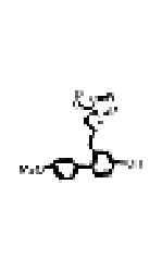 CCO[Si](CCCc1cc(O)ccc1-c1ccc(OC)cc1)(OCC)OCC